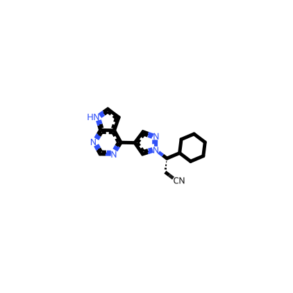 N#CC[C@@H](C1CCCCC1)n1cc(-c2ncnc3[nH]ccc23)cn1